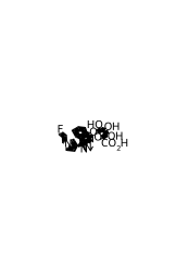 Cn1nc([C@H]2CCN(CCCF)C2)c2c3c(c(OC4OC(C(=O)O)C(O)C(O)C4O)nc21)CCCC3